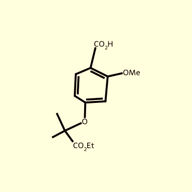 CCOC(=O)C(C)(C)Oc1ccc(C(=O)O)c(OC)c1